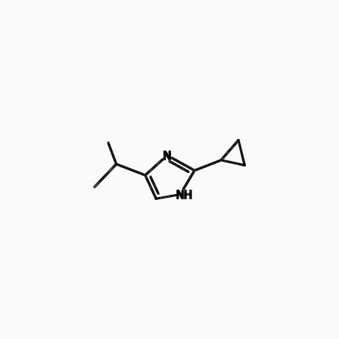 CC(C)c1c[nH]c(C2CC2)n1